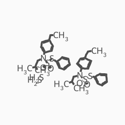 CCc1ccc(N(CC(C)C)S(=O)(=O)Sc2ccccc2)cc1.CCc1ccc(N(CC(C)C)S(=O)(=O)Sc2ccccc2)cc1.S.S